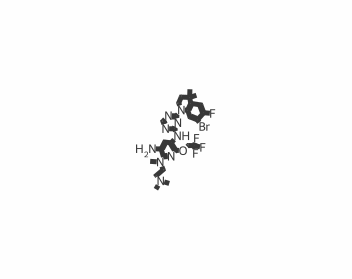 CN(C)CCN(C)c1nc(OCC(F)(F)F)c(Nc2ncnc(N3CCC(C)(C)c4cc(F)c(Br)cc43)n2)cc1N